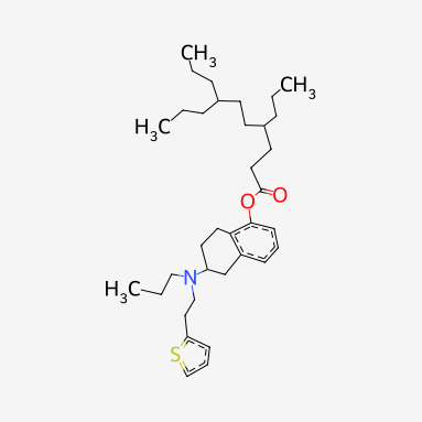 CCCC(CCC)CCC(CCC)CCC(=O)Oc1cccc2c1CCC(N(CCC)CCc1cccs1)C2